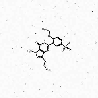 CCCC1=NC(C)c2c1nc(-c1cc(S(=O)(=O)Cl)ccc1OCC)[nH]c2=O